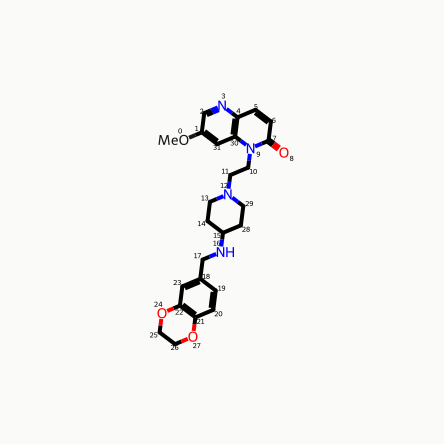 COc1cnc2ccc(=O)n(CCN3CCC(NCc4ccc5c(c4)OCCO5)CC3)c2c1